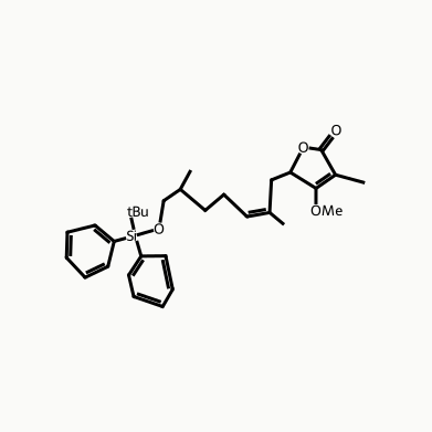 COC1=C(C)C(=O)OC1CC(C)=CCCC(C)CO[Si](c1ccccc1)(c1ccccc1)C(C)(C)C